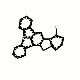 Clc1cccc2c1-c1cc3c4ccccc4n4c5ccccc5c(c1C2)c34